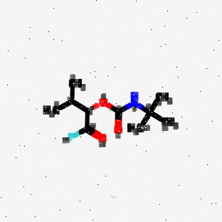 CC(C)[C@H](OC(=O)NC(C)(C)C)C(=O)F